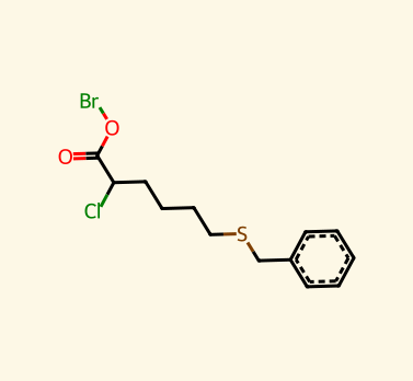 O=C(OBr)C(Cl)CCCCSCc1ccccc1